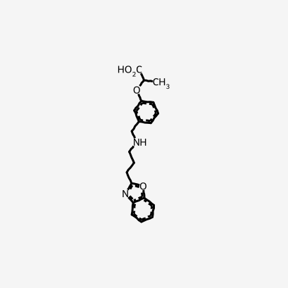 CC(Oc1cccc(CNCCCc2nc3ccccc3o2)c1)C(=O)O